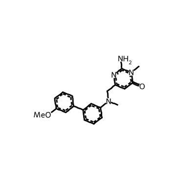 COc1cccc(-c2cccc(N(C)Cc3cc(=O)n(C)c(N)n3)c2)c1